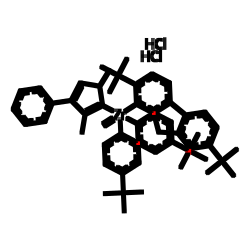 Cl.Cl.[CH2]=[Zr]([C]1=C(C)C(c2ccccc2)=CC1C)([c]1ccc(C(C)(C)C)cc1)([c]1ccc(C(C)(C)C)cc1)[c]1c(C(C)(C)C)ccc2c1Cc1cc(C(C)(C)C)ccc1-2